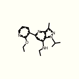 CCNc1cc(-c2cccnc2OCC)nc2c(C)nn(C(C)C)c12